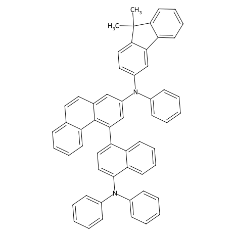 CC1(C)c2ccccc2-c2cc(N(c3ccccc3)c3cc(-c4ccc(N(c5ccccc5)c5ccccc5)c5ccccc45)c4c(ccc5ccccc54)c3)ccc21